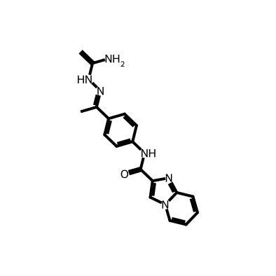 C=C(N)N/N=C(\C)c1ccc(NC(=O)c2cn3ccccc3n2)cc1